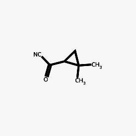 CC1(C)CC1C(=O)C#N